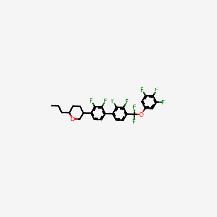 CCCC1CCC(c2ccc(-c3ccc(C(F)(F)Oc4cc(F)c(F)c(F)c4)c(F)c3F)c(F)c2F)CO1